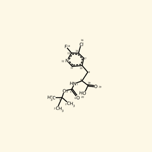 CC(C)(C)OC(=O)NC(Cc1cnc(F)c(Cl)c1)C(=O)O